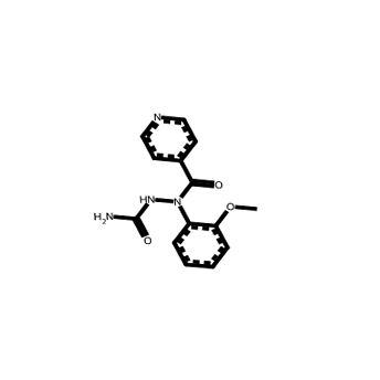 COc1ccccc1N(NC(N)=O)C(=O)c1ccncc1